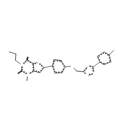 CCCn1c(=O)c2[nH]c(-c3ccc(OCc4nc(-c5ccc(F)cc5)no4)cc3)cc2n(C)c1=O